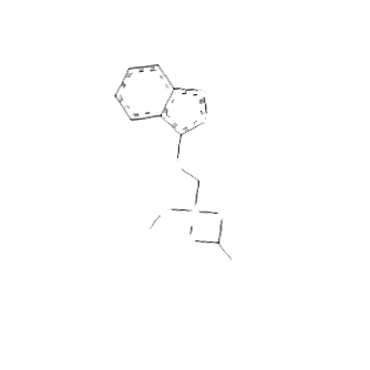 CCO[PH]1(COc2n[nH]c3ccccc23)OC(C)O1